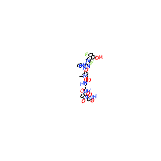 C#Cc1c(F)ccc2cc(O)cc(-c3ncc4c(N5CC6CCC(C5)N6)nc(OCC56CCC(COC(=O)NCCCC(=O)Nc7cccc8c7C(=O)N(C7CCC(=O)NC7=O)C8=O)N5CC(=C)C6)nc4c3F)c12